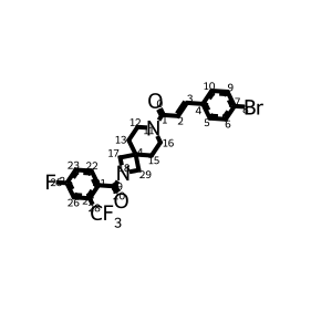 O=C(/C=C/c1ccc(Br)cc1)N1CCC2(CC1)CN(C(=O)c1ccc(F)cc1C(F)(F)F)C2